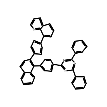 c1ccc(-c2nc(-c3ccccc3)nc(-c3ccc(-c4c(-c5ccc(-c6cccc7cccnc67)cc5)ccc5ccccc45)cc3)n2)cc1